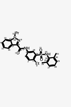 CCc1ccc(NC(=O)c2nn(C(C)C)c3ccccc23)cc1S(=O)(=O)Nc1c(C)cccc1C